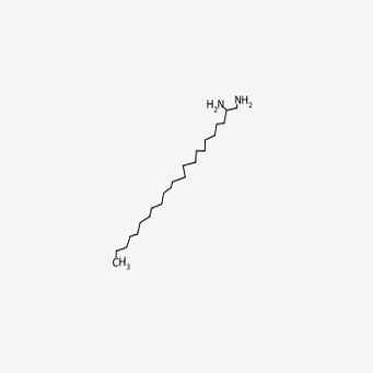 CCCCCCCCCCCCCCCCCCCCCC(N)CN